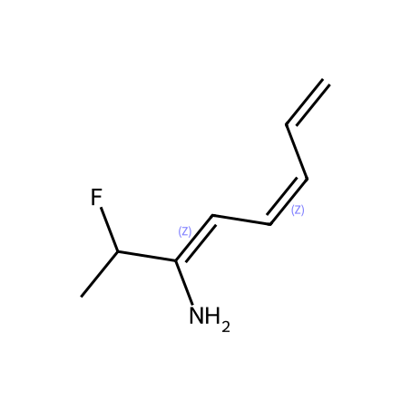 C=C/C=C\C=C(/N)C(C)F